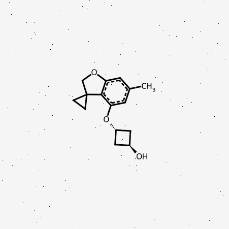 Cc1cc2c(c(O[C@H]3C[C@H](O)C3)c1)C1(CC1)CO2